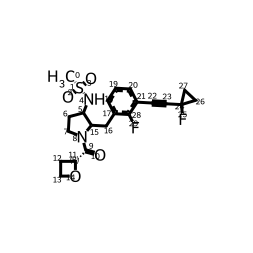 CS(=O)(=O)NC1CCN(C(=O)[C@H]2CCO2)C1Cc1cccc(C#CC2(F)CC2)c1F